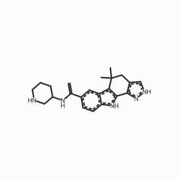 C=C(NC1CCCNC1)c1ccc2[nH]c3c(c2c1)C(C)(C)Cc1c[nH]nc1-3